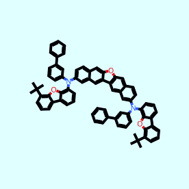 CC(C)(C)c1cccc2c1oc1c(N(c3cccc(-c4ccccc4)c3)c3ccc4cc5oc6cc7ccc(N(c8cccc(-c9ccccc9)c8)c8cccc9c8oc8c(C(C)(C)C)cccc89)cc7cc6c5cc4c3)cccc12